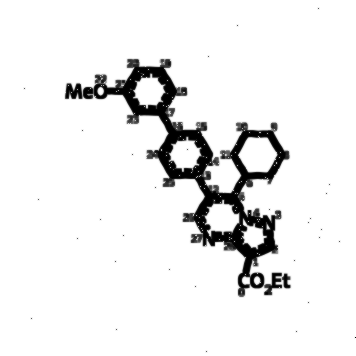 CCOC(=O)c1cnn2c(C3CCCCC3)c(-c3ccc(-c4cccc(OC)c4)cc3)cnc12